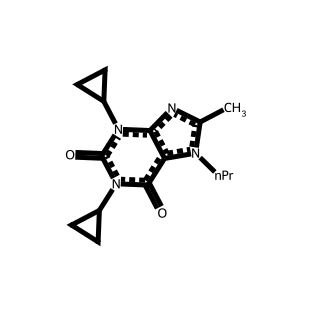 CCCn1c(C)nc2c1c(=O)n(C1CC1)c(=O)n2C1CC1